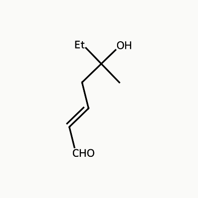 CCC(C)(O)CC=CC=O